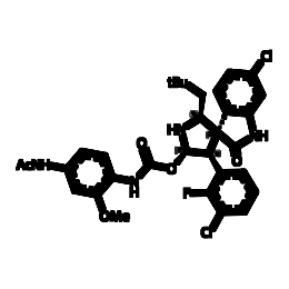 COc1cc(NC(C)=O)ccc1NC(=O)O[C@H]1N[C@@H](CC(C)(C)C)[C@@]2(C(=O)Nc3cc(Cl)ccc32)[C@H]1c1cccc(Cl)c1F